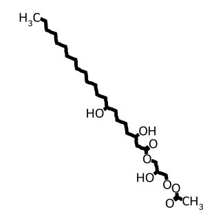 CCCCCCCCCCCCCCC(O)CCCCC(O)CC(=O)OCC(O)COOC(C)=O